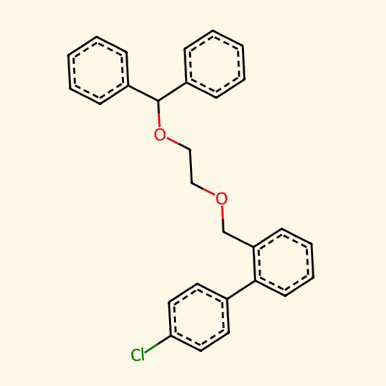 Clc1ccc(-c2ccccc2COCCOC(c2ccccc2)c2ccccc2)cc1